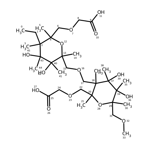 CCC1(C)C(C)(COCC(=O)O)OC(C)(COCC2(C)C(C)(COCC(=O)O)OC(C)(COC)C(C)(O)C2(C)O)C(C)(O)C1(C)O